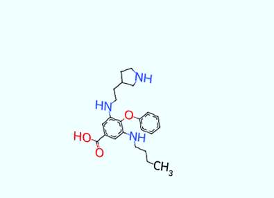 CCCCNc1cc(C(=O)O)cc(NCCC2CCNC2)c1Oc1ccccc1